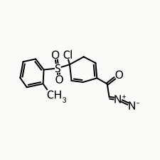 Cc1ccccc1S(=O)(=O)C1(Cl)C=CC(C(=O)C=[N+]=[N-])=CC1